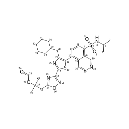 CC(C)NS(=O)(=O)c1ccc(-c2sc(-c3noc(CC(C)(C)OC=O)n3)nc2CC2CCCCC2)c2ccncc12